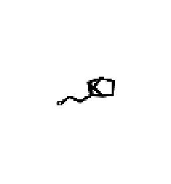 ClCCC1=CC2CCC1C2